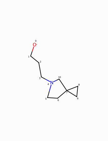 [O]CCCN1CCC2(CC2)C1